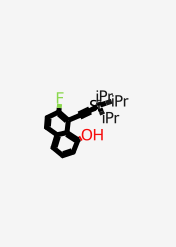 CC(C)[Si](C#Cc1c(F)ccc2cccc(O)c12)(C(C)C)C(C)C